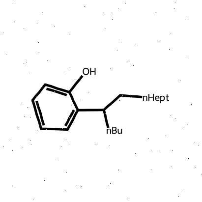 CCCCCCCCC(CCCC)c1ccccc1O